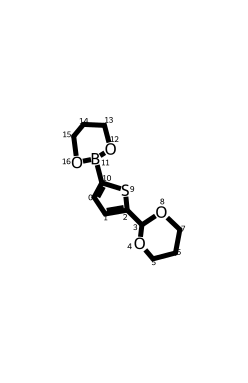 c1cc(C2OCCCO2)sc1B1OCCCO1